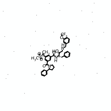 CN(c1cc(C(=O)N[C@@H](Cc2ccccc2)[C@@H](O)CNCc2cccc(OC(F)(F)F)c2)cc(C(=O)N2CCCC2c2ccccc2)c1)S(C)(=O)=O